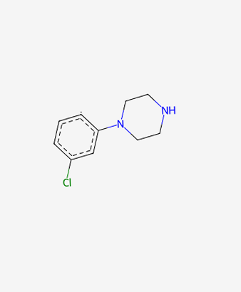 Clc1cc[c]c(N2CCNCC2)c1